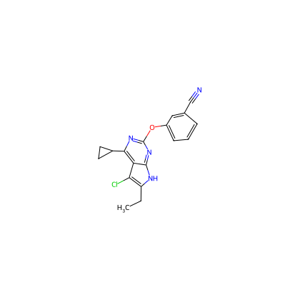 CCc1[nH]c2nc(Oc3cccc(C#N)c3)nc(C3CC3)c2c1Cl